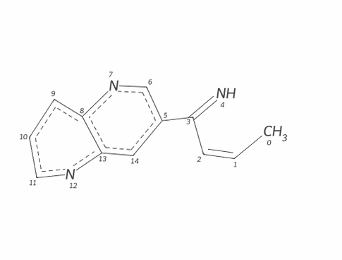 C/C=C\C(=N)c1cnc2cccnc2c1